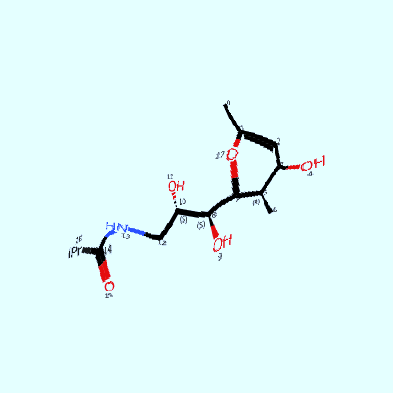 CC1=CC(O)[C@@H](C)C([C@@H](O)[C@@H](O)CNC(=O)C(C)C)O1